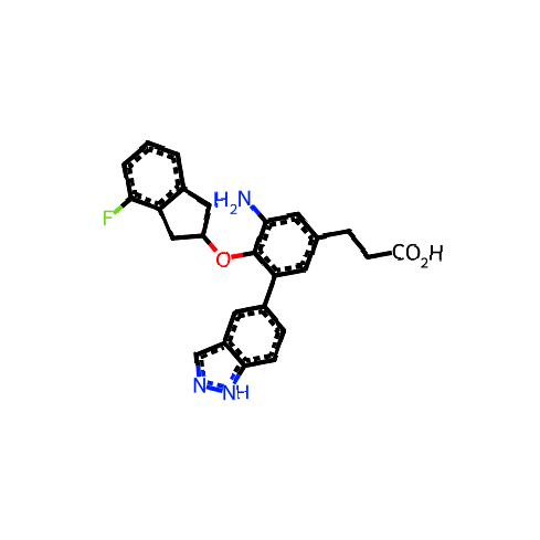 Nc1cc(CCC(=O)O)cc(-c2ccc3[nH]ncc3c2)c1OC1Cc2cccc(F)c2C1